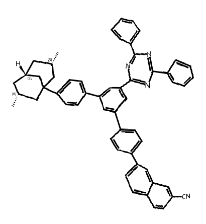 C[C@@H]1C[C@@H]2C[C@H](C)CC(c3ccc(-c4cc(-c5ccc(-c6ccc7ccc(C#N)cc7c6)cc5)cc(-c5nc(-c6ccccc6)nc(-c6ccccc6)n5)c4)cc3)(C1)C2